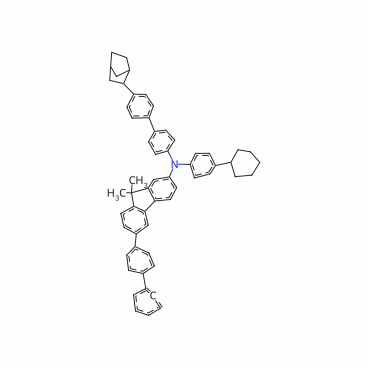 CC1(C)c2ccc(-c3ccc(-c4ccccc4)cc3)cc2-c2ccc(N(c3ccc(-c4ccc(C5CC6CCC5C6)cc4)cc3)c3ccc(C4CCCCC4)cc3)cc21